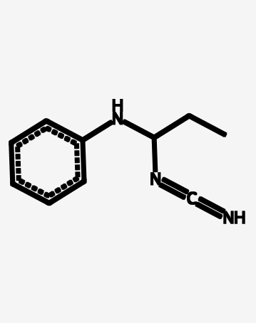 CCC(N=C=N)Nc1ccccc1